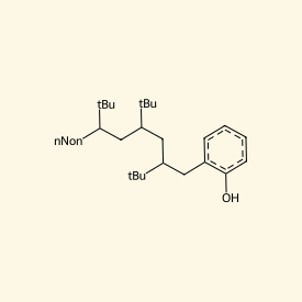 CCCCCCCCCC(CC(CC(Cc1ccccc1O)C(C)(C)C)C(C)(C)C)C(C)(C)C